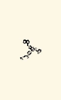 CN(C)CC=CC(=O)N1CCN(c2nc(OCC3CCCN3C)nc3c2CN(Cc2cccc4ccccc24)C3)CC1